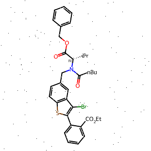 CCCCC(=O)N(Cc1ccc2sc(-c3ccccc3C(=O)OCC)c(Br)c2c1)[C@H](C(=O)OCc1ccccc1)C(C)C